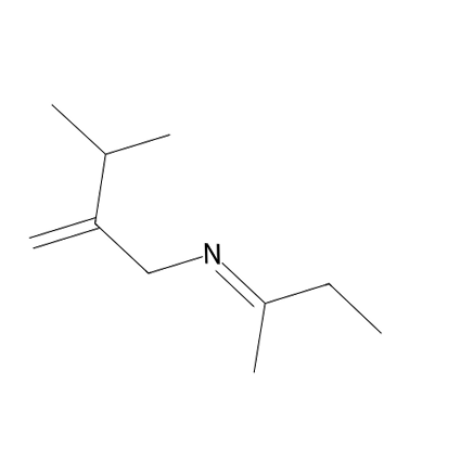 C=C(C/N=C(\C)CC)C(C)C